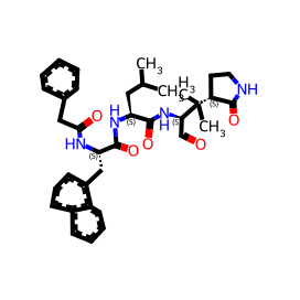 CC(C)C[C@H](NC(=O)[C@H](Cc1cccc2ccccc12)NC(=O)Cc1ccccc1)C(=O)N[C@H](C=O)C(C)(C)[C@@H]1CCNC1=O